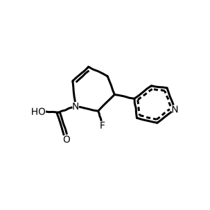 O=C(O)N1C=CCC(c2ccncc2)C1F